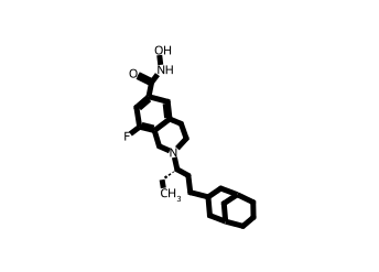 CC[C@@H](CCC1CC2CCCC(C2)C1)N1CCc2cc(C(=O)NO)cc(F)c2C1